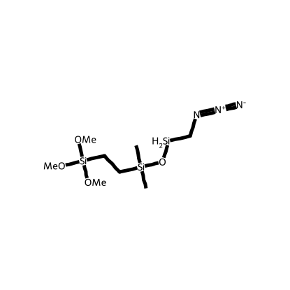 CO[Si](CC[Si](C)(C)O[SiH2]CN=[N+]=[N-])(OC)OC